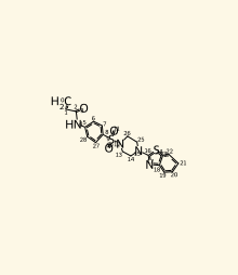 C=CC(=O)Nc1ccc(S(=O)(=O)N2CCN(c3nc4ccccc4s3)CC2)cc1